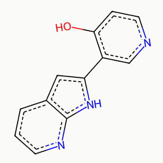 Oc1ccncc1-c1cc2cccnc2[nH]1